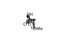 COC(=O)CCOCC1CCCN1c1cc(N2CC[C@@H](O)C2)c2ccc(Cl)c(Cl)c2n1